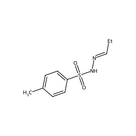 CCC=NNS(=O)(=O)c1ccc(C)cc1